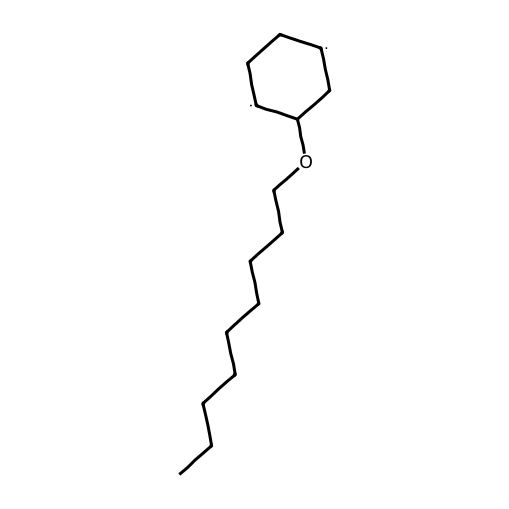 CCCCCCCCCOC1[CH]CC[CH]C1